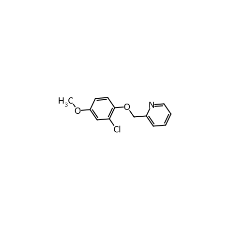 COc1ccc(OCc2ccccn2)c(Cl)c1